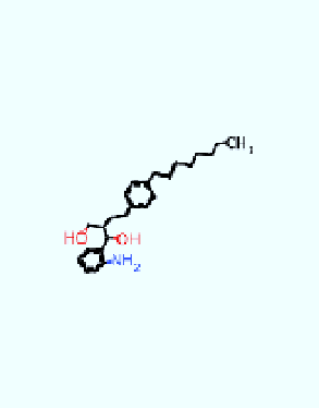 CCCCCCCCc1ccc(CCC(CO)C(O)c2ccccc2N)cc1